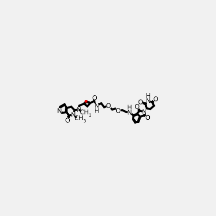 CN(CC12CC(C(=O)NCCOCCOCCNc3cccc4c3C(=O)N(C3CCC(=O)NC3=O)C4=O)(C1)C2)C1Cc2ccncc2C(=O)N1C